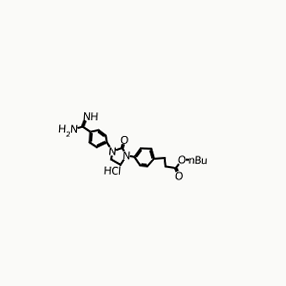 CCCCOC(=O)CCc1ccc(N2CCN(c3ccc(C(=N)N)cc3)C2=O)cc1.Cl